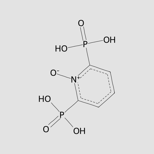 O=P(O)(O)c1cccc(P(=O)(O)O)[n+]1[O-]